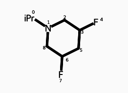 CC(C)N1CC(F)CC(F)C1